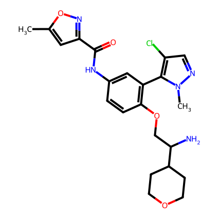 Cc1cc(C(=O)Nc2ccc(OCC(N)C3CCOCC3)c(-c3c(Cl)cnn3C)c2)no1